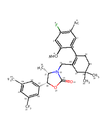 COc1cc(F)c(C(C)=O)cc1C1=C(CN2C(=O)O[C@H](c3cc(C(F)(F)F)cc(C(F)(F)F)c3)[C@@H]2C)CC(C)(C)CC1